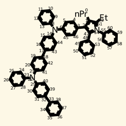 CCCc1c(-c2ccc(N(c3ccccc3)c3ccc(-c4ccc(N(c5ccccc5)c5ccc(-c6ccccc6)cc5)cc4)cc3)cc2)c(-c2ccccc2)n(-c2ccccc2)c1CC